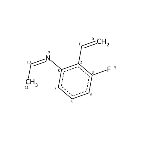 C=Cc1c(F)cccc1/N=C\C